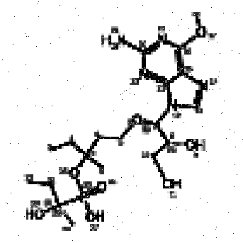 CCC(C)(CCO[C@H]([C@H](O)CO)n1cnc2c(OC)nc(N)nc21)OP(=O)(O)[C@@](C)(O)CC